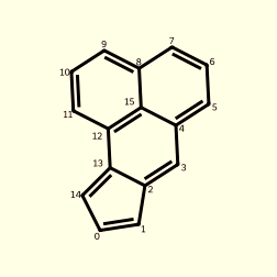 C1=Cc2cc3cccc4cccc(c2=C1)c43